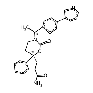 C[C@@H](c1ccc(-c2cccnc2)cc1)N1CC[C@](CCC(N)=O)(c2ccccc2)OC1=O